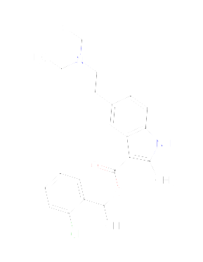 CCN(CC)CCc1ccc2[nH]c(C)c(C(=O)OC(C)c3ccccc3Cl)c2c1